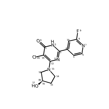 O=c1[nH]c(-c2ccnc(F)c2)nc(N2CC[C@@H](O)C2)c1Cl